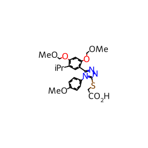 COCOc1cc(OCOC)c(C(C)C)cc1-c1nnc(SCC(=O)O)n1-c1ccc(OC)cc1